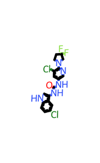 O=C(Nc1cnc(N2CCC(F)(F)C2)c(Cl)c1)Nc1c[nH]c2ccc(Cl)cc12